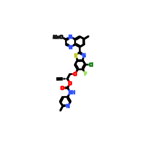 C#C[C@H](COc1cc2sc(-c3cc(C)cc4nc(OC)cnc34)nc2c(Cl)c1F)OC(=O)Nc1ccc(C)nc1